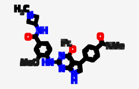 CNC(=O)c1ccc(-c2c[nH]c3nc(Nc4ccc(C(=O)NC5CN(C)C5)cc4OC)nc(OC(C)C)c23)cc1